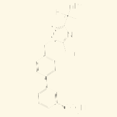 CCCc1nc(C(F)(F)CCC)nn1Cc1ccc(-c2cccc(C(=O)O)c2)cc1